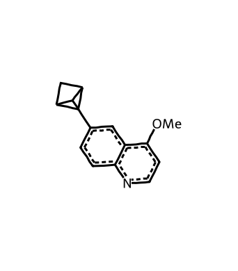 COc1ccnc2ccc(C3C4CC3C4)cc12